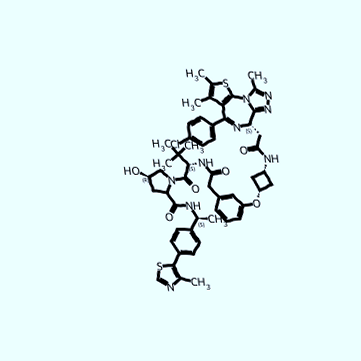 Cc1ncsc1-c1ccc([C@H](C)NC(=O)C2C[C@@H](O)CN2C(=O)[C@@H](NC(=O)Cc2cccc(O[C@H]3C[C@@H](NC(=O)C[C@@H]4N=C(c5ccc(Cl)cc5)c5c(sc(C)c5C)-n5c(C)nnc54)C3)c2)C(C)(C)C)cc1